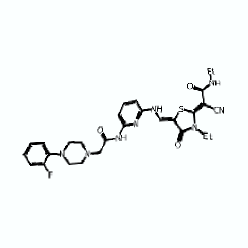 CCNC(=O)C(C#N)=c1sc(=CNc2cccc(NC(=O)CN3CCN(c4ccccc4F)CC3)n2)c(=O)n1CC